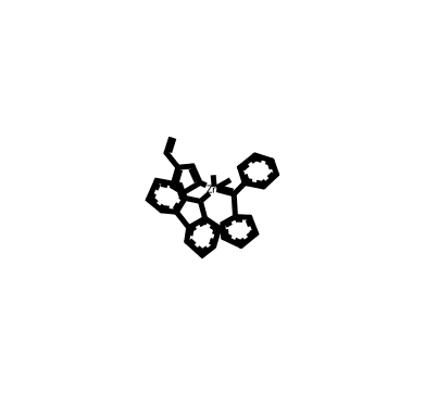 C=CC1=CC[C]([Zr]([CH3])([CH3])(=[C](c2ccccc2)c2ccccc2)[CH]2c3ccccc3-c3ccccc32)=C1